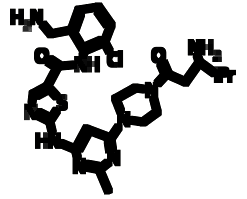 Cc1nc(Nc2ncc(C(=O)Nc3c(Cl)cccc3CN)s2)cc(N2CCN(C(=O)CC(N)C(C)C)CC2)n1